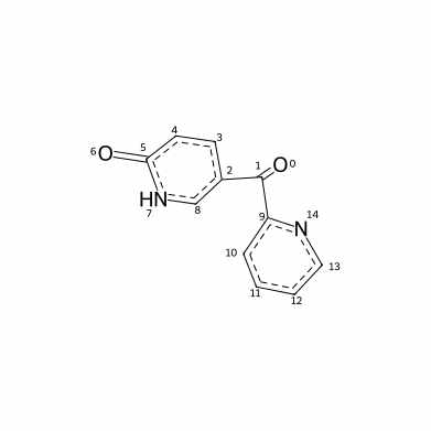 O=C(c1ccc(=O)[nH]c1)c1ccccn1